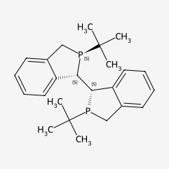 CC(C)(C)P1Cc2ccccc2[C@H]1[C@@H]1c2ccccc2C[P@@]1C(C)(C)C